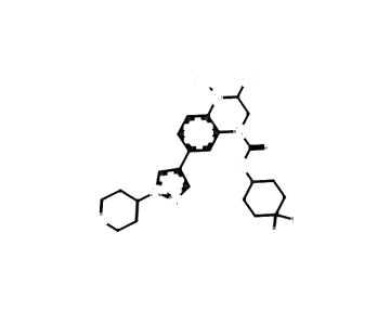 CC(=O)N1c2ccc(-c3cnn(C4CCOCC4)c3)cc2N(C(=O)OC2CCC(F)(F)CC2)CC1C